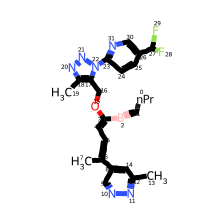 CCC\C=B/C(=C\C=C(/C)c1cnnc(C)c1)OCc1c(C)nnn1-c1ccc(C(F)F)cn1